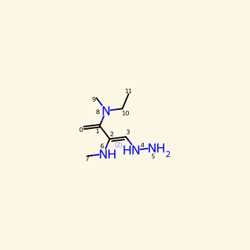 C=C(/C(=C/NN)NC)N(C)CC